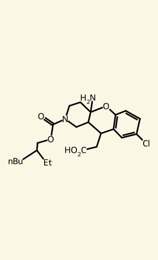 CCCCC(CC)COC(=O)N1CCC2(N)Oc3ccc(Cl)cc3C(CC(=O)O)C2C1